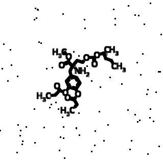 CCC[C@H](C)OC(=O)OCC[C@@](N)(Cc1ccc(OC(=O)CC)c(OC(=O)CC)c1)C(=O)OC